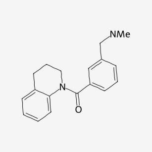 CNCc1cccc(C(=O)N2CCCc3ccccc32)c1